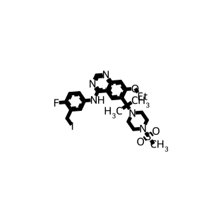 CCOc1cc2ncnc(Nc3ccc(F)c(CI)c3)c2cc1C(C)(C)N1CCN(S(C)(=O)=O)CC1